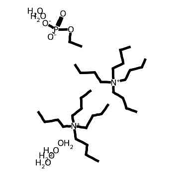 CCCC[N+](CCCC)(CCCC)CCCC.CCCC[N+](CCCC)(CCCC)CCCC.CCOP(=O)([O-])[O-].O.O.O.O.O.O